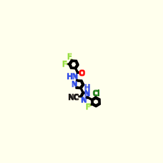 N#Cc1nc(-c2c(F)cccc2Cl)[nH]c1-c1ccc(NC(=O)c2ccc(F)c(F)c2)nc1